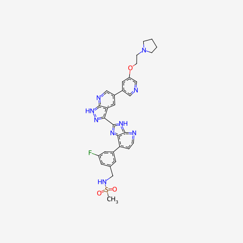 CS(=O)(=O)NCc1cc(F)cc(-c2ccnc3[nH]c(-c4n[nH]c5ncc(-c6cncc(OCCN7CCCC7)c6)cc45)nc23)c1